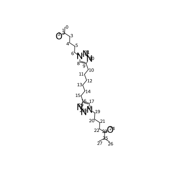 CC(=O)CCCCn1cc(CCCCCCc2cn(CCCCC(=O)C(C)C)nn2)nn1